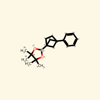 CC1(C)OB(C23CCC(c4ccccc4)(C2)C3)OC1(C)C